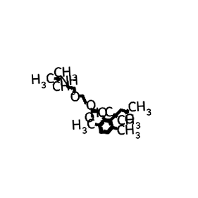 CC(=O)CC(C)(C)c1c(C)ccc(C)c1OC(=O)OCCOCCNC(C)(C)C